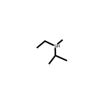 CC[SiH](C)C(C)C